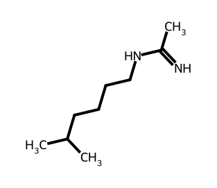 CC(=N)NCCCCC(C)C